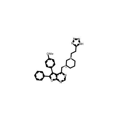 COc1ccc(-c2c(-c3ccccc3)oc3ncnc(C[C@@H]4CCCN(CCc5nnn[nH]5)C4)c23)cc1